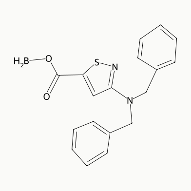 BOC(=O)c1cc(N(Cc2ccccc2)Cc2ccccc2)ns1